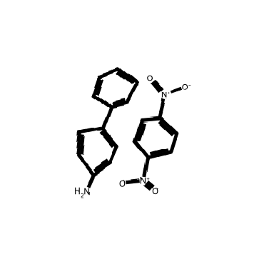 Nc1ccc(-c2ccccc2)cc1.O=[N+]([O-])c1ccc([N+](=O)[O-])cc1